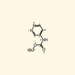 CC(C)(C)OC(=O)Nc1[c]nncc1